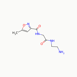 Cc1cc(C(=O)NCC(=O)NCCN)no1